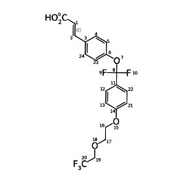 O=C(O)/C=C/c1ccc(OC(F)(F)c2ccc(OCCOCC(F)(F)F)cc2)cc1